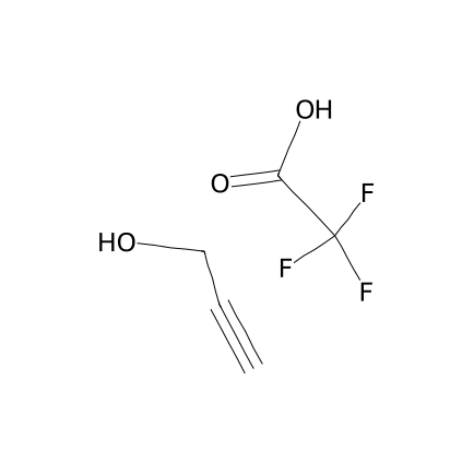 C#CCO.O=C(O)C(F)(F)F